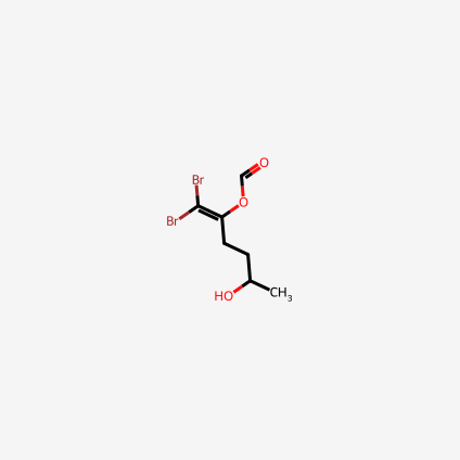 CC(O)CCC(OC=O)=C(Br)Br